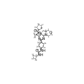 C[C@H]1COCCN1c1cc(C2(S(=O)(=O)C3CCCC3)CC2)nc(-c2ccc(NC(=O)NC3CCC3)cc2)n1